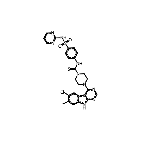 Cc1cc2[nH]c3ncnc(N4CCN(C(=S)Nc5ccc(S(=O)(=O)Nc6ncccn6)cc5)CC4)c3c2cc1Cl